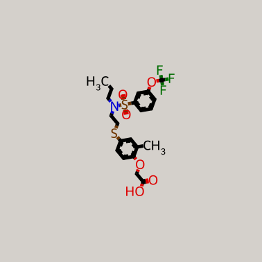 CCCN(CCSc1ccc(OCC(=O)O)c(C)c1)S(=O)(=O)c1cccc(OC(F)(F)F)c1